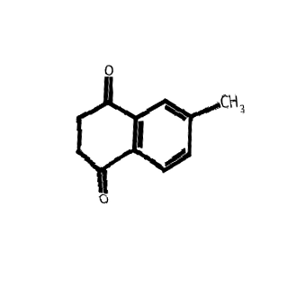 Cc1ccc2c(c1)C(=O)CCC2=O